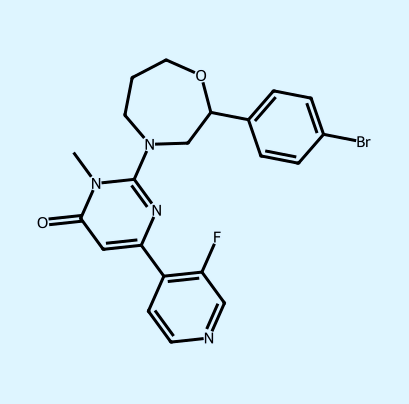 Cn1c(N2CCCOC(c3ccc(Br)cc3)C2)nc(-c2ccncc2F)cc1=O